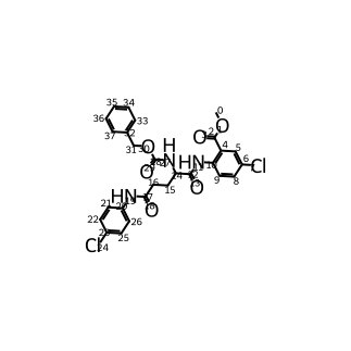 COC(=O)c1cc(Cl)ccc1NC(=O)C(CCC(=O)Nc1ccc(Cl)cc1)NC(=O)OCc1ccccc1